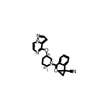 C[C@@H]1CC[C@@H](Oc2nccn3nccc23)CN1C(=O)c1ccccc1C1(C#N)CC1